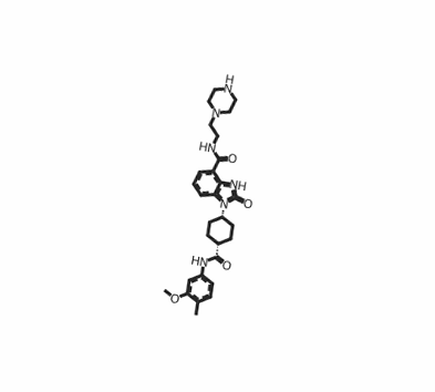 COc1cc(NC(=O)[C@H]2CC[C@@H](n3c(=O)[nH]c4c(C(=O)NCCN5CCNCC5)cccc43)CC2)ccc1C